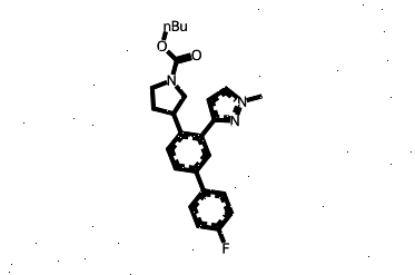 CCCCOC(=O)N1CCC(c2ccc(-c3ccc(F)cc3)cc2-c2ccn(C)n2)C1